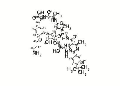 Cc1nc(-c2ccc(C(C)(C)C)c(F)c2)nc(N)c1C(=O)NCC(=O)N(C)[C@@H]1C(=O)N[C@@H](C)C(=O)N[C@H](C(=O)O)Cc2ccc(OCCCN)c(c2)-c2cc1cc(OC[C@H](O)CN)c2O